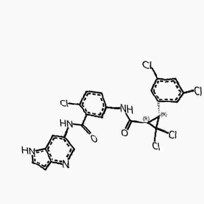 O=C(Nc1cnc2cc[nH]c2c1)c1cc(NC(=O)[C@H]2[C@H](c3cc(Cl)cc(Cl)c3)C2(Cl)Cl)ccc1Cl